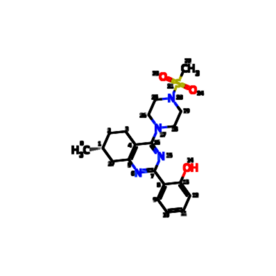 C[C@@H]1CCc2c(nc(-c3ccccc3O)nc2N2CCN(S(C)(=O)=O)CC2)C1